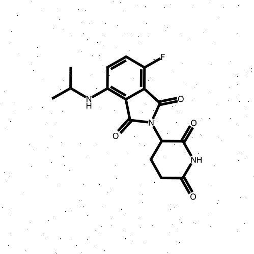 CC(C)Nc1ccc(F)c2c1C(=O)N(C1CCC(=O)NC1=O)C2=O